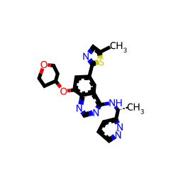 Cc1cnc(-c2cc(OC3CCOCC3)c3ncnc(N[C@H](C)c4cccnn4)c3c2)s1